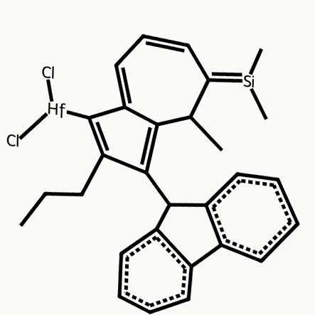 CCCC1=[C]([Hf]([Cl])[Cl])C2=CC=CC(=[Si](C)C)C(C)C2=C1C1c2ccccc2-c2ccccc21